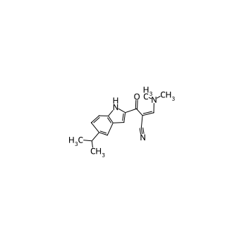 CC(C)c1ccc2[nH]c(C(=O)/C(C#N)=C\N(C)C)cc2c1